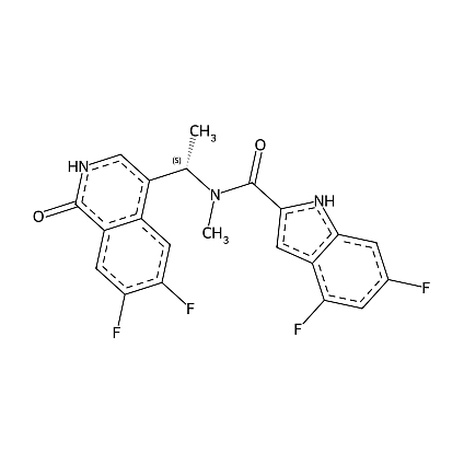 C[C@@H](c1c[nH]c(=O)c2cc(F)c(F)cc12)N(C)C(=O)c1cc2c(F)cc(F)cc2[nH]1